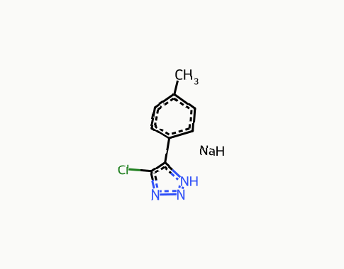 Cc1ccc(-c2[nH]nnc2Cl)cc1.[NaH]